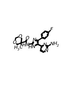 CC1(C(=O)Nc2nc(-c3ccc(F)cc3)c(-c3ccnc(N)n3)[nH]2)COCOC1